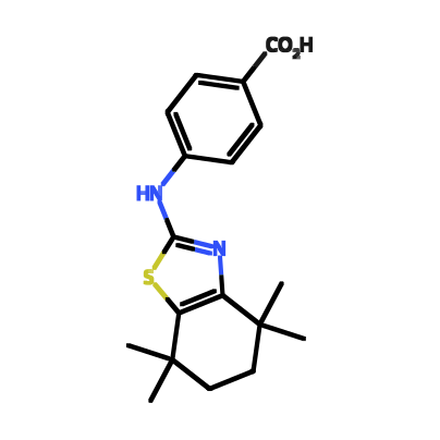 CC1(C)CCC(C)(C)c2sc(Nc3ccc(C(=O)O)cc3)nc21